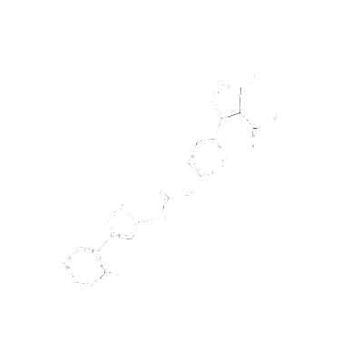 CC(C)n1nc(-c2ccc(CC(=O)Nc3cc(-c4ccccc4F)on3)cc2)c(C(N)=O)c1N